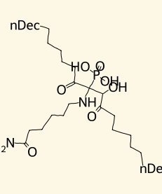 CCCCCCCCCCCCCCCC(=O)C(O)C(NCCCCCC(N)=O)(C(=O)CCCCCCCCCCCCCCC)P(=O)(O)O